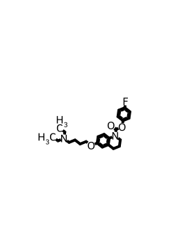 CCN(CC)CCCCOc1ccc2c(c1)CCCN2C(=O)Oc1ccc(F)cc1